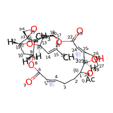 CC(=O)[C@@]12CC/C=C/C(=O)O[C@@H]3C[C@H]4O[C@@H]5C=C(C)CC[C@]5(COC(=O)/C=C(\CCO1)[C@H]2O)[C@]3(C)[C@]41CO1